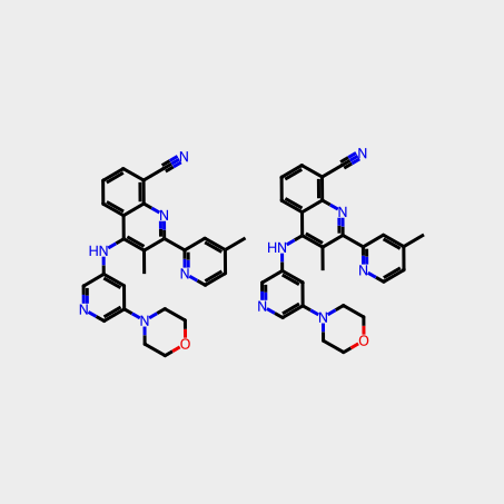 Cc1ccnc(-c2nc3c(C#N)cccc3c(Nc3cncc(N4CCOCC4)c3)c2C)c1.Cc1ccnc(-c2nc3c(C#N)cccc3c(Nc3cncc(N4CCOCC4)c3)c2C)c1